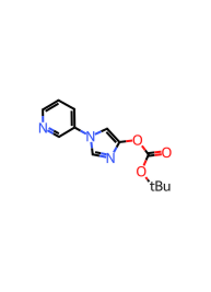 CC(C)(C)OC(=O)Oc1cn(-c2cccnc2)cn1